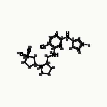 Cn1cc(Nc2ncc(Cl)c(NCC3CCCN3C3CCS(=O)(=O)C3)n2)cn1